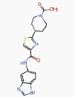 O=C(Nc1ccc2[nH]cnc2c1)c1csc(C2CCN(C(=O)O)CC2)n1